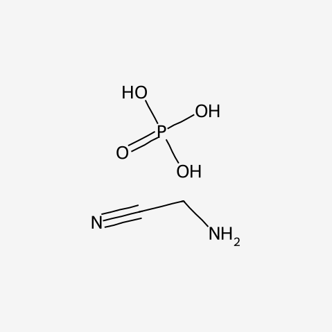 N#CCN.O=P(O)(O)O